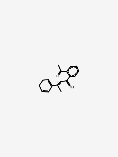 CC(=O)c1ccccc1C(=N)/C=C(\C)C1=CCCC=C1